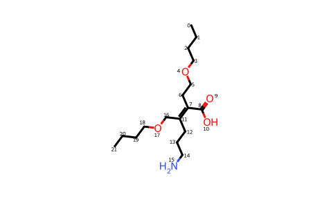 CCCCOCCC(C(=O)O)=C(CCCN)COCCCC